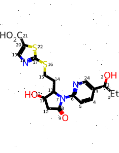 CCC(O)c1ccc(N2C(=O)CC(O)C2CCSc2ncc(C(=O)O)s2)nc1